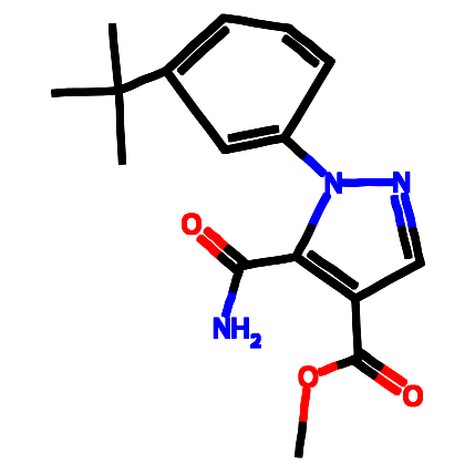 COC(=O)c1cnn(-c2cccc(C(C)(C)C)c2)c1C(N)=O